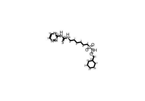 O=S(=O)(CCCCCCNC(=S)Nc1nccnn1)NOCC1CCCCC1